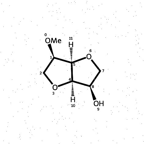 CO[C@@H]1CO[C@H]2[C@@H]1OC[C@H]2O